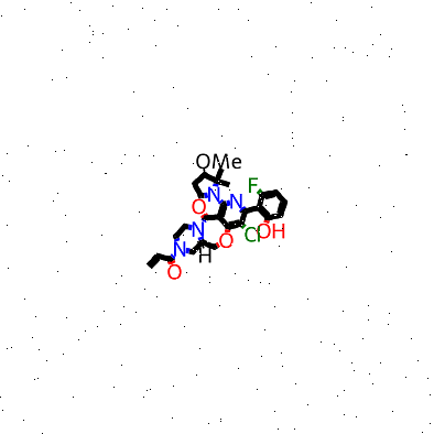 C=CC(=O)N1CCN2C(=O)c3c(N4CC[C@H](OC)C4(C)C)nc(-c4c(O)cccc4F)c(Cl)c3OC[C@H]2C1